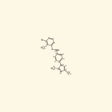 Cc1c(F)cccc1CNc1ccc(-n2cc(C(F)(F)F)nc2C)cn1